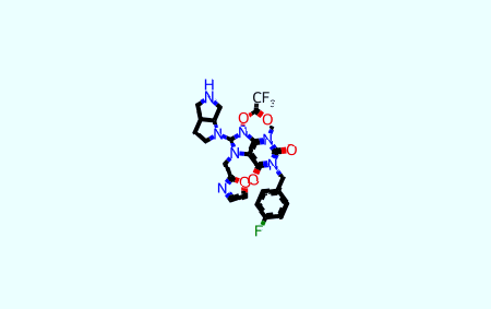 Cn1c2c(c(=O)n(Cc3ccc(F)cc3)c1=O)N(Cc1ncco1)C(N1CCC3CNCC31)N2OC(=O)C(F)(F)F